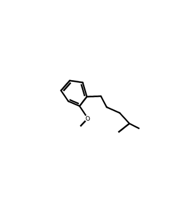 COc1ccccc1CCCC(C)C